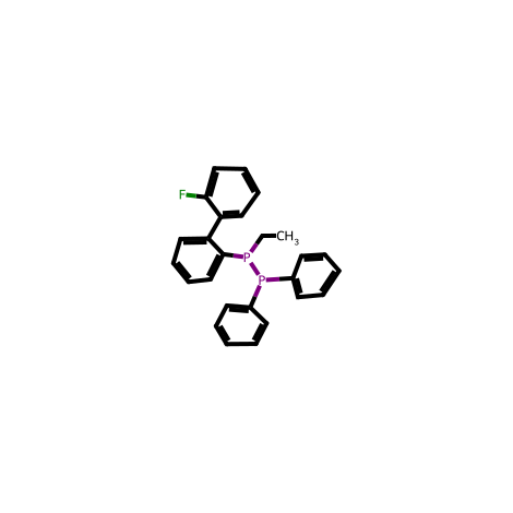 CCP(c1ccccc1-c1ccccc1F)P(c1ccccc1)c1ccccc1